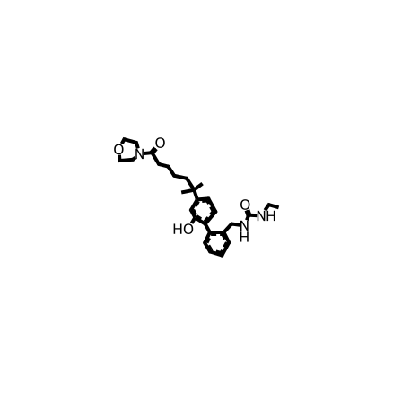 CCNC(=O)NCc1ccccc1-c1ccc(C(C)(C)CCCCC(=O)N2CCOCC2)cc1O